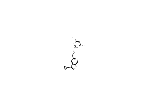 N#Cc1cc(N)nc(SCCc2cc3c(C4CC4)coc3cn2)n1